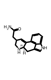 NC(=O)CC1C=C2c3cccc4[nH]cc(c34)C[C@H]2NC1